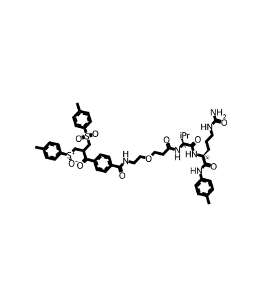 Cc1ccc(NC(=O)[C@H](CCCNC(N)=O)NC(=O)[C@@H](NC(=O)CCOCCNC(=O)c2ccc(C(=O)C(C[S+]([O-])c3ccc(C)cc3)CS(=O)(=O)c3ccc(C)cc3)cc2)C(C)C)cc1